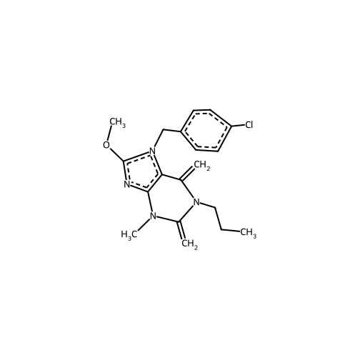 C=C1c2c(nc(OC)n2Cc2ccc(Cl)cc2)N(C)C(=C)N1CCC